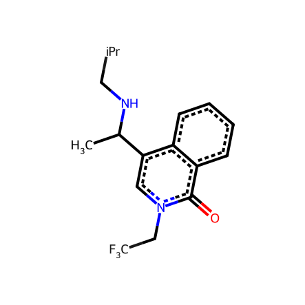 CC(C)CNC(C)c1cn(CC(F)(F)F)c(=O)c2ccccc12